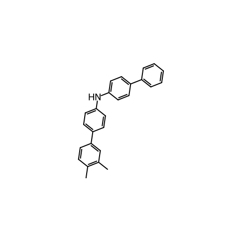 Cc1ccc(-c2ccc(Nc3ccc(-c4ccccc4)cc3)cc2)cc1C